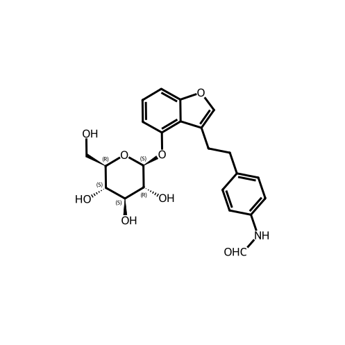 O=CNc1ccc(CCc2coc3cccc(O[C@@H]4O[C@H](CO)[C@@H](O)[C@H](O)[C@H]4O)c23)cc1